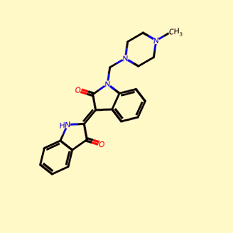 CN1CCN(CN2C(=O)/C(=C3\Nc4ccccc4C3=O)c3ccccc32)CC1